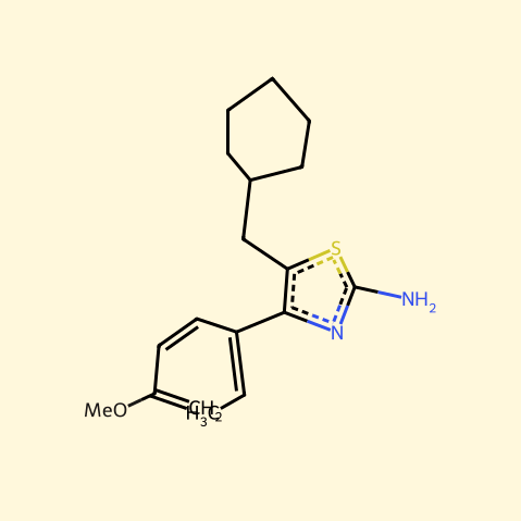 C=C(/C=C\C(=C/C)c1nc(N)sc1CC1CCCCC1)OC